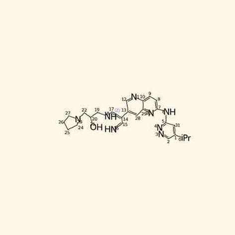 CC(C)c1cnnc(Nc2ccc3ncc(/C(C=N)=C/NCC(O)CN4CCCC4)cc3n2)c1